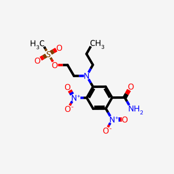 CCCN(CCOS(C)(=O)=O)c1cc(C(N)=O)c([N+](=O)[O-])cc1[N+](=O)[O-]